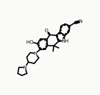 CC1(C)c2cc(N3CCC(N4CCCC4)CC3)c(O)cc2C(=O)c2c1[nH]c1cc(C#N)ccc21